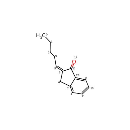 CCCCC=C1Cc2ccccc2C1=O